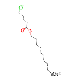 CCCCCCCCCCCCCCCCCCCOC(=O)CCCCCl